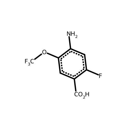 Nc1cc(F)c(C(=O)O)cc1OC(F)(F)F